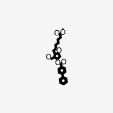 COC(=O)CCCCC1CC2C(CC(OC(=O)c3ccc(-c4ccccc4)cc3)C2C=O)O1